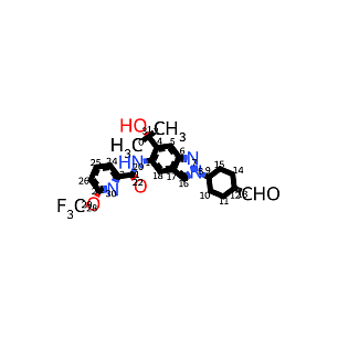 CC(C)(O)c1cc2nn(C3CCC(C=O)CC3)cc2cc1NC(=O)c1cccc(OC(F)(F)F)n1